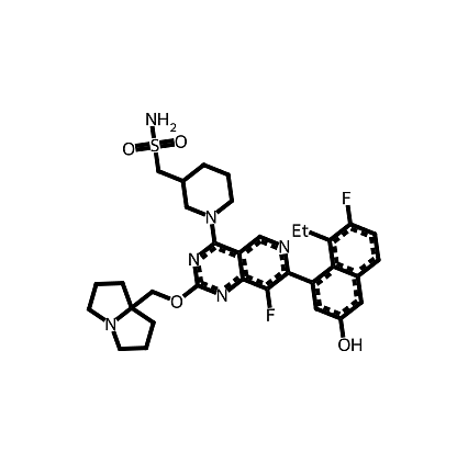 CCc1c(F)ccc2cc(O)cc(-c3ncc4c(N5CCCC(CS(N)(=O)=O)C5)nc(OCC56CCCN5CCC6)nc4c3F)c12